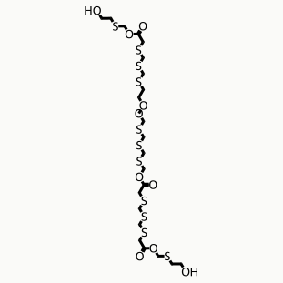 O=C(CSCSCSCCOOCSCSCSCOC(=O)CSCSCSCC(=O)OCSCCO)OCSCCO